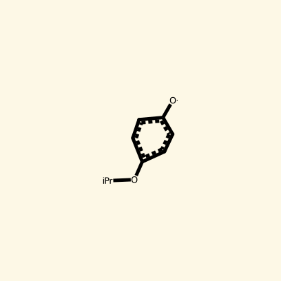 CC(C)Oc1ccc([O])cc1